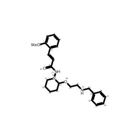 COc1ccccc1/C=C/C(=O)NN1CCCCC1OCCNCc1ccccc1